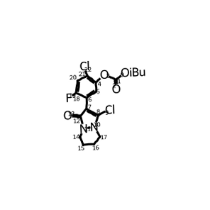 CC(C)COC(=O)Oc1cc(-c2c(Cl)n3n(c2=O)CCCC3)c(F)cc1Cl